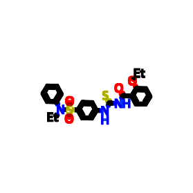 CCOc1ccccc1C(=O)NC(=S)Nc1ccc(S(=O)(=O)N(CC)c2ccccc2)cc1